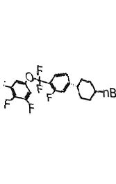 CCCC[C@H]1CC[C@H](c2ccc(C(F)(F)Oc3cc(F)c(F)c(F)c3)c(F)c2)CC1